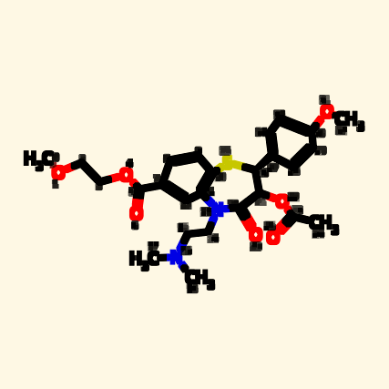 COCCOC(=O)c1ccc2c(c1)N(CCN(C)C)C(=O)C(OC(C)=O)[C@H](c1ccc(OC)cc1)S2